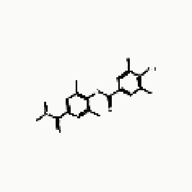 Cc1cc(C(=O)Oc2c(C)cc(C(=O)N(C)C)cc2C)cc(C)c1O